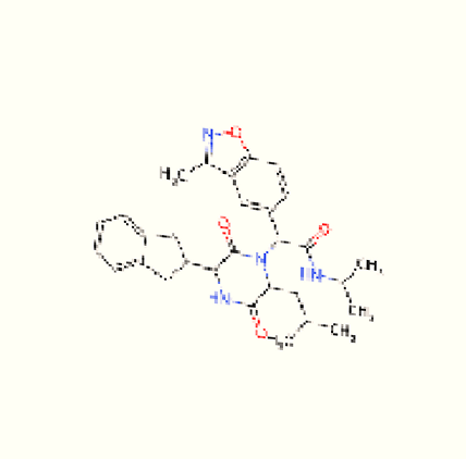 Cc1noc2ccc(C(C(=O)NC(C)C)N3C(=O)C(C4Cc5ccccc5C4)NC(=O)C3CC(C)C)cc12